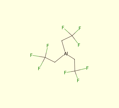 FC(F)(F)[CH2][Al]([CH2]C(F)(F)F)[CH2]C(F)(F)F